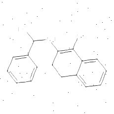 CC1=C(NC(C)c2ccccc2)CCc2ccccc21